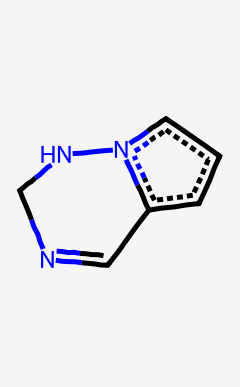 C1=NCNn2cccc21